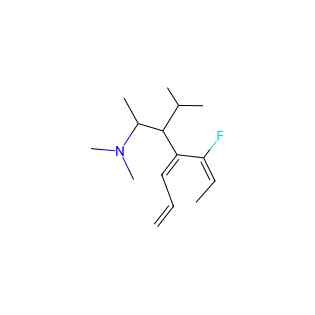 C=C/C=C(\C(F)=C/C)C(C(C)C)C(C)N(C)C